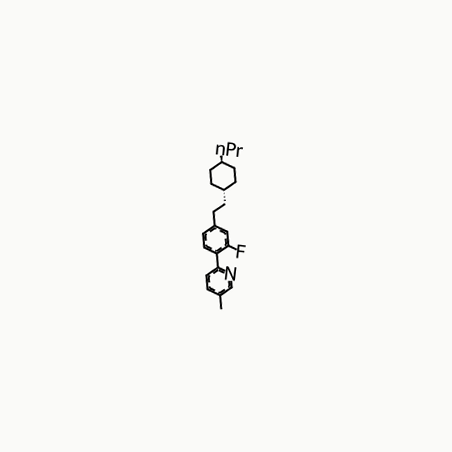 CCC[C@H]1CC[C@H](CCc2ccc(-c3ccc(C)cn3)c(F)c2)CC1